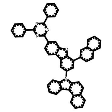 c1ccc(-c2nc(-c3ccccc3)nc(-c3ccc4c(c3)oc3c(-c5ccc6ccccc6c5)cc(-n5c6ccccc6c6c7ccccc7ccc65)cc34)n2)cc1